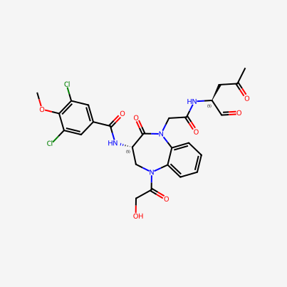 COc1c(Cl)cc(C(=O)N[C@H]2CN(C(=O)CO)c3ccccc3N(CC(=O)N[C@H](C=O)CC(C)=O)C2=O)cc1Cl